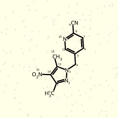 Cc1nn(Cc2ccc(C#N)nc2)c(C)c1[N+](=O)[O-]